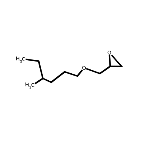 CCC(C)CCCOCC1CO1